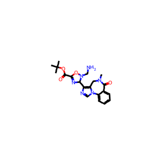 CN1Cc2c(C3N=C(C(=O)OC(C)(C)C)ON3CN)ncn2-c2ccccc2C1=O